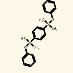 C[Si](C)(Oc1ccccc1)c1ccc([Si](C)(C)Oc2ccccc2)cc1